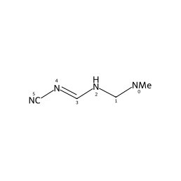 CNCN/C=N/C#N